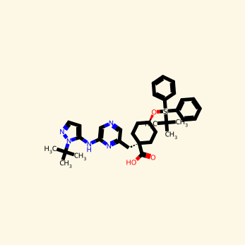 CC(C)(C)n1nccc1Nc1cncc(C[C@]2(C(=O)O)CC[C@@H](O[Si](c3ccccc3)(c3ccccc3)C(C)(C)C)CC2)n1